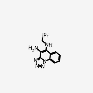 CC(C)CNc1c(N)c2nnnn2c2ccccc12